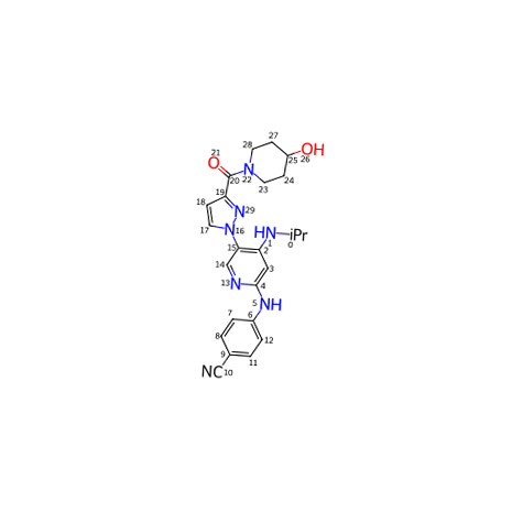 CC(C)Nc1cc(Nc2ccc(C#N)cc2)ncc1-n1ccc(C(=O)N2CCC(O)CC2)n1